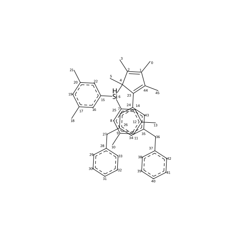 CC1=C(C)C(C)([SiH](c2cc(C)cc(C)c2)c2cc(C)cc(C)c2)C(c2cc(Cc3ccccc3)cc(Cc3ccccc3)c2)=C1C